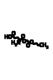 CCCCOC(=O)COC(=O)[C@@H](N)CCC(=O)O